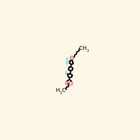 C=CCCC1OCC(c2ccc(-c3ccc(-c4ccc(OCCCCCCC)c(F)c4F)cc3)c(F)c2)CO1